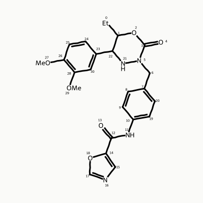 CCC1OC(=O)N(Cc2ccc(NC(=O)c3cnco3)cc2)NC1c1ccc(OC)c(OC)c1